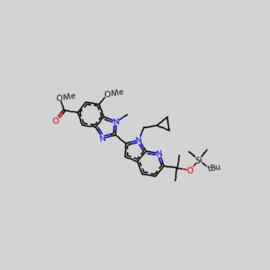 COC(=O)c1cc(OC)c2c(c1)nc(-c1cc3ccc(C(C)(C)O[Si](C)(C)C(C)(C)C)nc3n1CC1CC1)n2C